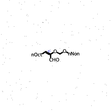 CCCCCCCC/C=C(\C=O)OCOCCCCCCCCC